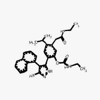 CCNC(=O)Cc1cc(OC(=O)NCC)c(-c2[nH]nc(S)c2-c2cccc3ccccc23)cc1C(C)C